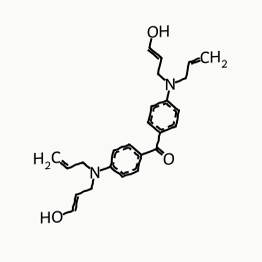 C=CCN(CC=CO)c1ccc(C(=O)c2ccc(N(CC=C)CC=CO)cc2)cc1